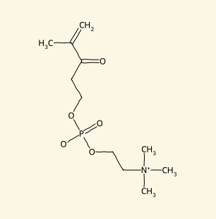 C=C(C)C(=O)CCOP(=O)([O-])OCC[N+](C)(C)C